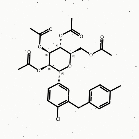 CC(=O)OC[C@H]1O[C@H](c2ccc(Cl)c(Cc3ccc(C)cc3)c2)[C@@H](OC(C)=O)[C@@H](OC(C)=O)[C@@H]1OC(C)=O